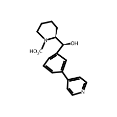 O=C(O)N1CCCC[C@H]1[C@@H](O)c1cccc(-c2ccncc2)c1